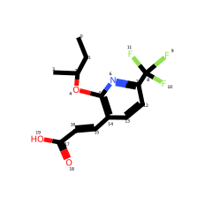 CCC(C)Oc1nc(C(F)(F)F)ccc1/C=C/C(=O)O